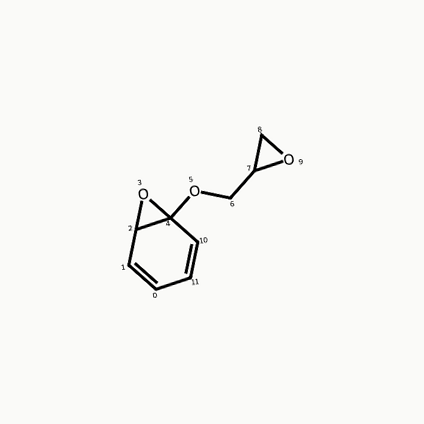 C1=CC2OC2(OCC2CO2)C=C1